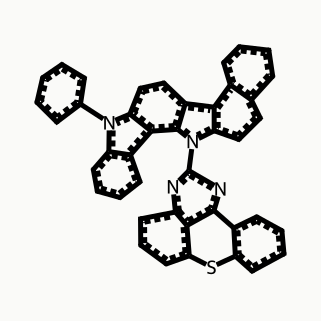 c1ccc(-n2c3ccccc3c3c2ccc2c4c5ccccc5ccc4n(-c4nc5c6c(cccc6n4)Sc4ccccc4-5)c23)cc1